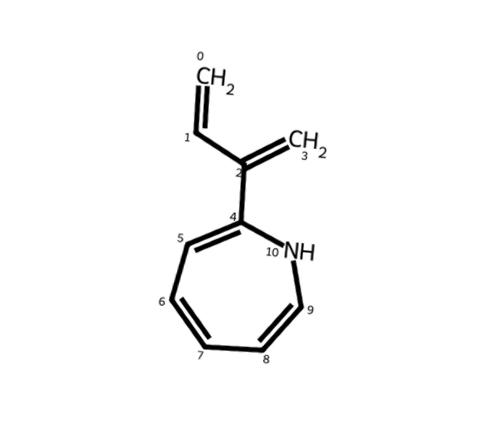 C=CC(=C)C1=CC=CC=CN1